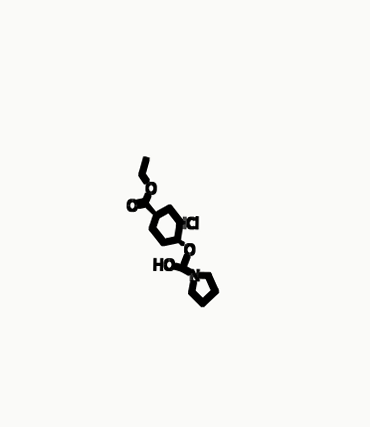 CCOC(=O)[C@H]1CC[C@H](OC(O)N2CCCC2)CC1.Cl